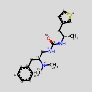 C[C@@H](Cc1ccsc1)NC(=O)NC[C@H](Cc1ccccc1)N(C)C